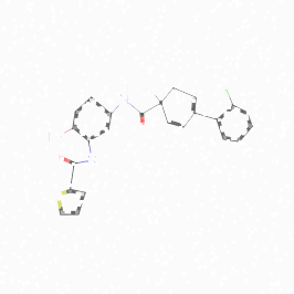 O=C(Nc1cc(NC(=O)C2(C(F)(F)F)C=CC(c3ccccc3Cl)=CC2)ccc1O)c1cccs1